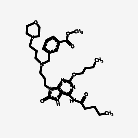 CCCCOc1nc(NC(=O)CCCC)c2[nH]c(=O)n(CCCN(CCCN3CCOCC3)Cc3cccc(C(=O)OC)c3)c2n1